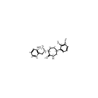 O=C1NC[C@H](c2cccc(F)c2F)CC[C@H]1N(Cc1ccccn1)C(=O)O